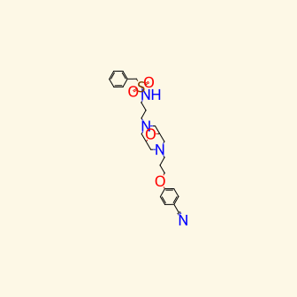 N#Cc1ccc(OCCCN2CC3CN(CCCNS(=O)(=O)Cc4ccccc4)CC(C2)O3)cc1